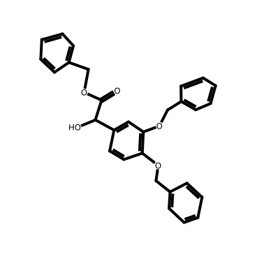 O=C(OCc1ccccc1)C(O)c1ccc(OCc2ccccc2)c(OCc2ccccc2)c1